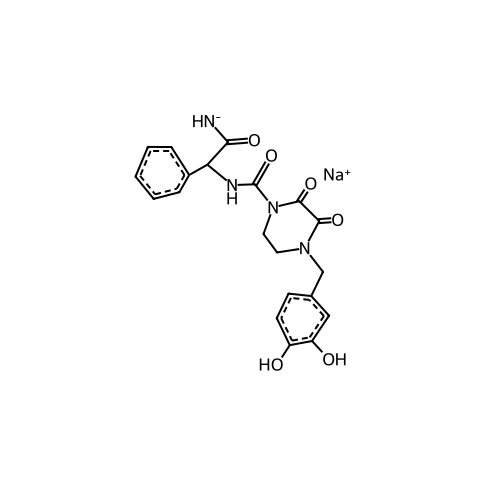 [NH-]C(=O)C(NC(=O)N1CCN(Cc2ccc(O)c(O)c2)C(=O)C1=O)c1ccccc1.[Na+]